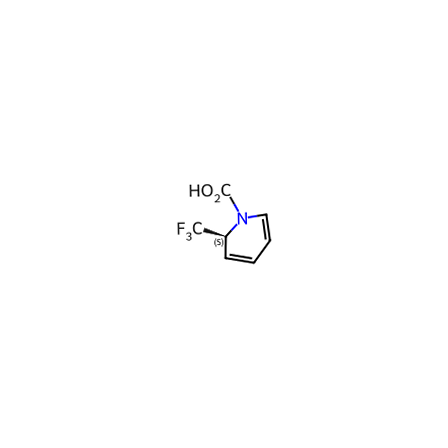 O=C(O)N1C=CC=C[C@H]1C(F)(F)F